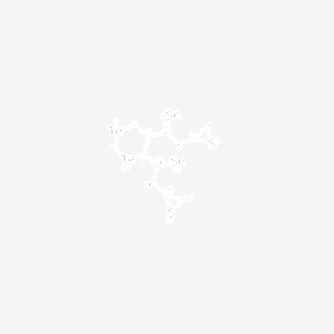 [Se]=C(CC1CS1)C1C[Te]C[Te]C1C(=[Se])CC1CS1